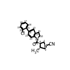 C[C@H]1CN(C#N)C[C@@H]1C(=O)N1CCc2cc(-c3ccccc3Cl)ccc21